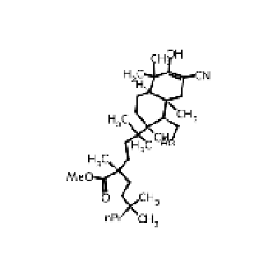 CCCC(C)(C)CC[C@@](C)(CCC(C)(C)[C@]1(C)CC[C@H]2C(C)(C)C(O)=C(C#N)C[C@]2(C)[C@H]1CC(C)=O)C(=O)OC